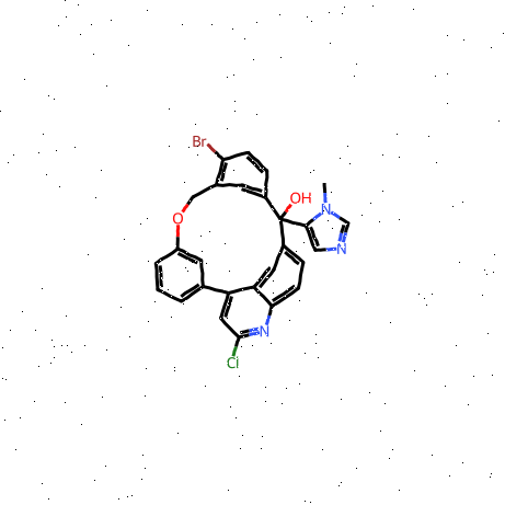 Cn1cncc1C1(O)c2ccc(Br)c(c2)COc2cccc(c2)-c2cc(Cl)nc3ccc1cc23